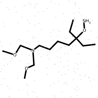 CCC(CC)(CCCCN(COC)COC)O[SiH3]